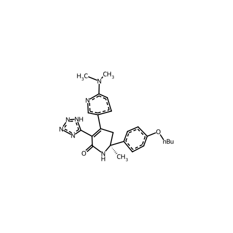 CCCCOc1ccc([C@]2(C)CC(c3ccc(N(C)C)nc3)=C(c3nnn[nH]3)C(=O)N2)cc1